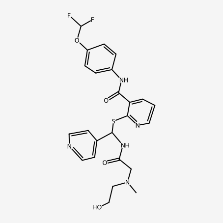 CN(CCO)CC(=O)NC(Sc1ncccc1C(=O)Nc1ccc(OC(F)F)cc1)c1ccncc1